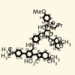 COc1ccc(S(=O)(=O)N(CC(C)C)C[C@@H](O)[C@H](Cc2ccc(NCc3cc(-c4ccc(N(C)C)cc4)ccc3-c3sc4c(c3C(=O)O)CC(C)(C)CC4)cc2)NC(=O)O[C@H]2CO[C@@]3(C)OCC[C@@H]23)cc1